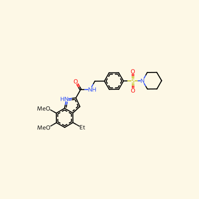 CCc1cc(OC)c(OC)c2[nH]c(C(=O)NCc3ccc(S(=O)(=O)N4CCCCC4)cc3)cc12